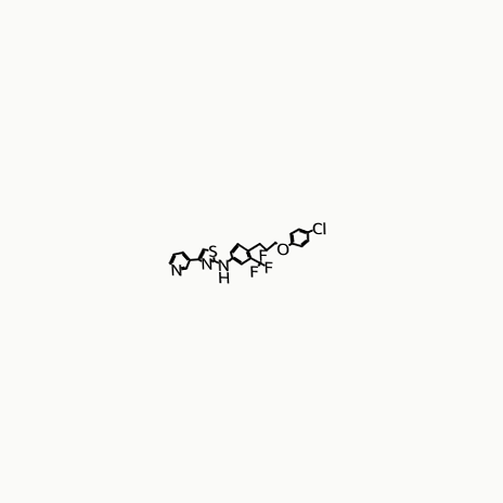 FC(F)(F)c1cc(Nc2nc(-c3cccnc3)cs2)ccc1CCCOc1ccc(Cl)cc1